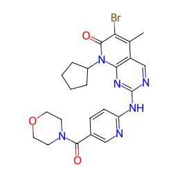 Cc1c(Br)c(=O)n(C2CCCC2)c2nc(Nc3ccc(C(=O)N4CCOCC4)cn3)ncc12